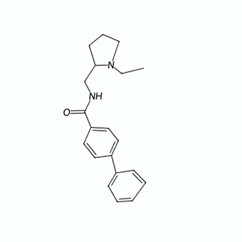 CCN1CCCC1CNC(=O)c1ccc(-c2ccccc2)cc1